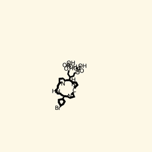 O=P(O)(O)OCCC(CCOP(=O)(O)O)c1c2nc(cc3ccc([nH]3)c(-c3ccc(Br)cc3)c3nc(cc4ccc1[nH]4)C=C3)C=C2